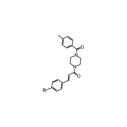 Cc1ccc(C(=O)N2CCN(C(=O)C=Cc3ccc(Br)cc3)CC2)cc1